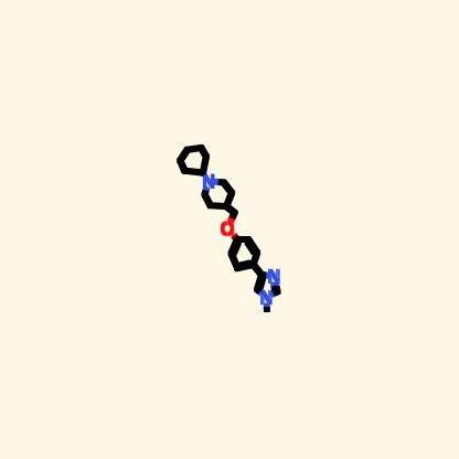 Cn1cnc(-c2ccc(OCC3CCN(C4CCCCC4)CC3)cc2)c1